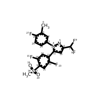 Cc1cc(-n2nc(C(F)F)cc2-c2cc(F)c(S(C)(=O)=O)cc2F)ccc1F